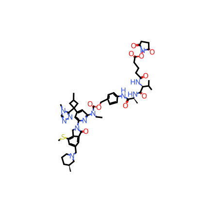 CCN(C(=O)OCc1ccc(NC(=O)[C@H](C)NC(=O)[C@@H](NC(=O)CCCC(=O)ON2C(=O)CCC2=O)C(C)C)cc1)c1cc(C2(c3nncn3C)CC(C)C2)cc(N2Cc3c(SC)cc(CN4CCC[C@H](C)C4)cc3C2=O)n1